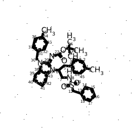 Cc1ccc(CC(CNS(=O)(=O)Cc2ccccc2)n2c(=NC(=O)OC(C)(C)C)n(Cc3ccc(C)cc3)c3ccccc32)cc1